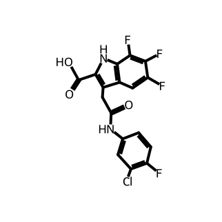 O=C(Cc1c(C(=O)O)[nH]c2c(F)c(F)c(F)cc12)Nc1ccc(F)c(Cl)c1